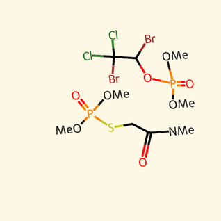 CNC(=O)CSP(=O)(OC)OC.COP(=O)(OC)OC(Br)C(Cl)(Cl)Br